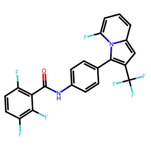 O=C(Nc1ccc(-c2c(C(F)(F)F)cc3cccc(F)n23)cc1)c1c(F)ccc(F)c1F